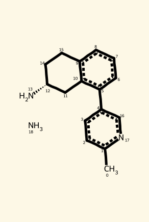 Cc1ccc(-c2cccc3c2C[C@H](N)CC3)cn1.N